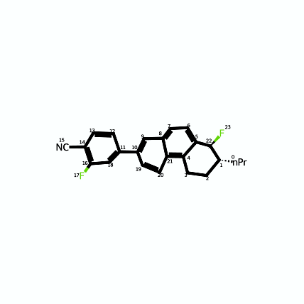 CCC[C@@H]1CCc2c(ccc3cc(-c4ccc(C#N)c(F)c4)ccc23)[C@H]1F